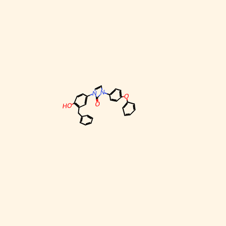 O=c1n(-c2ccc(Oc3ccccc3)cc2)ccn1-c1ccc(O)c(Cc2ccccc2)c1